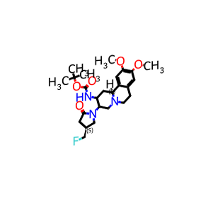 COc1cc2c(cc1OC)[C@@H]1CC(NC(=O)OC(C)(C)C)C(N3C[C@@H](CF)CC3=O)CN1CC2